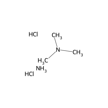 CN(C)C.Cl.Cl.N